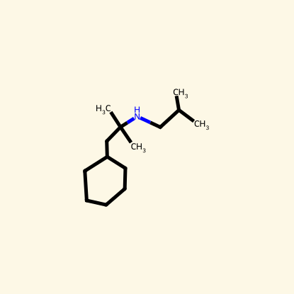 CC(C)CNC(C)(C)CC1CCCCC1